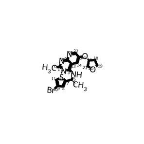 Cc1nc(N[C@H](C)c2cc(Br)cs2)c2cc(O[C@H]3CCOC3)cnc2n1